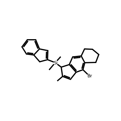 CC1=Cc2c(cc3c(c2Br)CCCC3)C1[Si](C)(C)C1=Cc2ccccc2C1